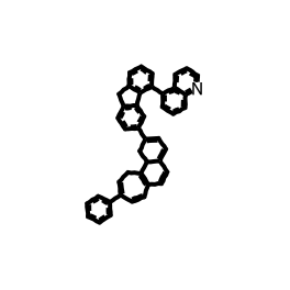 C1=CC2=C(CC=C1c1ccccc1)C1CC(c3ccc4c(c3)-c3c(cccc3-c3cccc5ncccc35)C4)=CC=C1C=C2